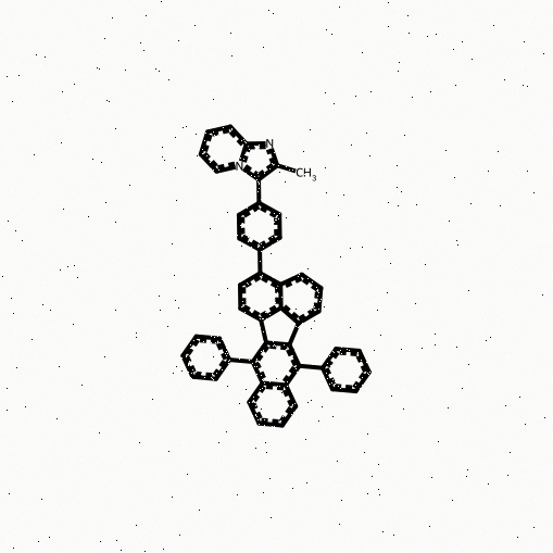 Cc1nc2ccccn2c1-c1ccc(-c2ccc3c4c(cccc24)-c2c-3c(-c3ccccc3)c3ccccc3c2-c2ccccc2)cc1